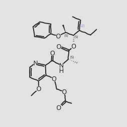 C/C=C(/CC)[C@H](OC(=O)[C@H](C)NC(=O)c1nccc(OC)c1OCOC(C)=O)[C@H](C)Oc1ccccc1